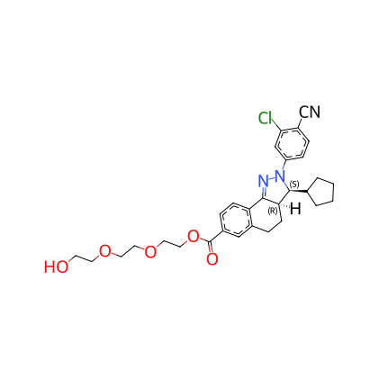 N#Cc1ccc(N2N=C3c4ccc(C(=O)OCCOCCOCCO)cc4CC[C@@H]3[C@@H]2C2CCCC2)cc1Cl